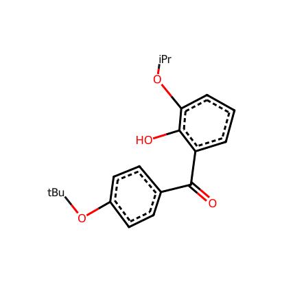 CC(C)Oc1cccc(C(=O)c2ccc(OC(C)(C)C)cc2)c1O